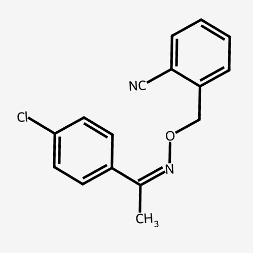 CC(=NOCc1ccccc1C#N)c1ccc(Cl)cc1